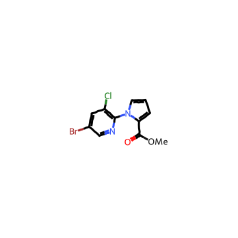 COC(=O)c1cccn1-c1ncc(Br)cc1Cl